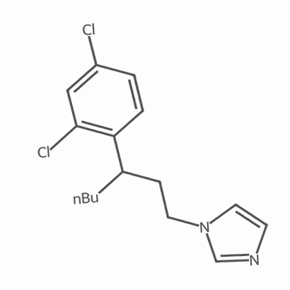 CCCCC(CCn1ccnc1)c1ccc(Cl)cc1Cl